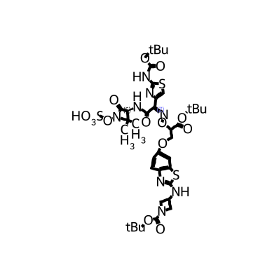 CC(C)(C)OC(=O)Nc1nc(/C(=N/OC(COc2ccc3nc(NC4CN(C(=O)OC(C)(C)C)C4)sc3c2)C(=O)OC(C)(C)C)C(=O)N[C@@H]2C(=O)N(OS(=O)(=O)O)C2(C)C)cs1